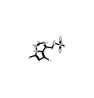 Cc1cc(I)c2c(COS(C)(=O)=O)ncnn12